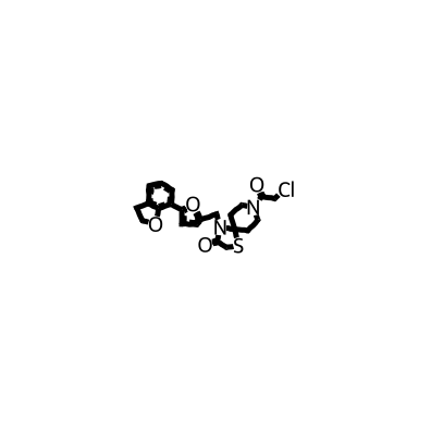 O=C(CCl)N1CCC2(CC1)SCC(=O)N2Cc1ccc(-c2cccc3c2OCC3)o1